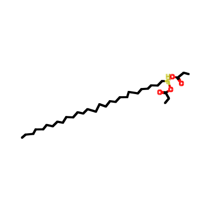 CCCCCCCCCCCCCCCCCCCCCCCCCCCC[SH](OC(=O)CC)OC(=O)CC